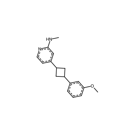 CNc1cc(C2CC(c3cccc(OC)c3)C2)ccn1